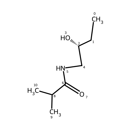 CC[C@@H](O)CNC(=O)C(C)C